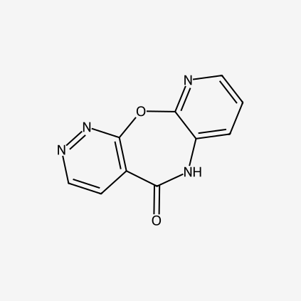 O=C1Nc2cccnc2Oc2nnccc21